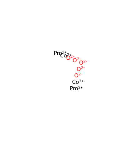 [Co+2].[Co+2].[O-2].[O-2].[O-2].[O-2].[O-2].[Pm+3].[Pm+3]